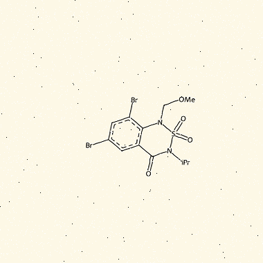 COCN1c2c(Br)cc(Br)cc2C(=O)N(C(C)C)S1(=O)=O